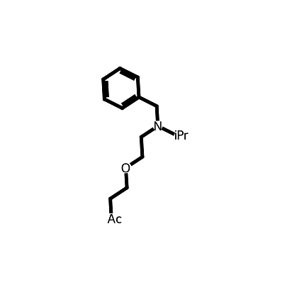 CC(=O)CCOCCN(Cc1ccccc1)C(C)C